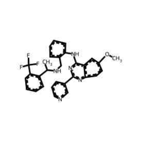 COc1ccc2nc(-c3cccnc3)nc(Nc3ccccc3CNC(C)c3ccccc3C(F)(F)F)c2c1